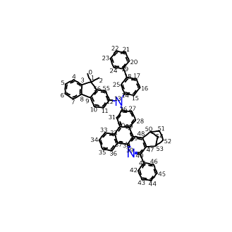 CC1(C)c2ccccc2-c2ccc(N(c3cccc(-c4ccccc4)c3)c3ccc4c(c3)c3ccccc3c3nc(-c5ccccc5)c5c(c43)C3CCC5C3)cc21